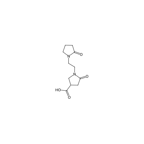 O=C(O)C1CC(=O)N(CCN2CCCC2=O)C1